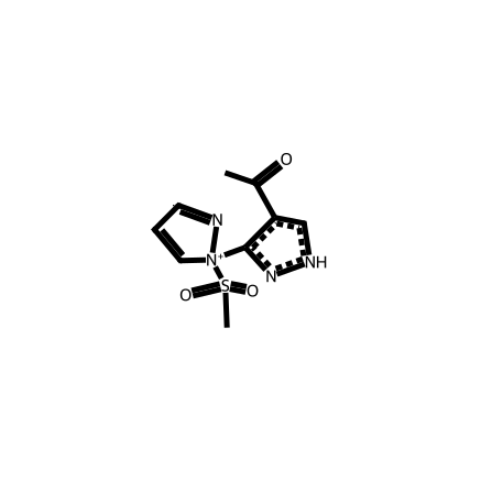 CC(=O)c1c[nH]nc1[N+]1(S(C)(=O)=O)C=C[C]=N1